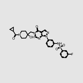 O=C(C1CC1)N1CCC(O)(Cn2cnc3c(cnn3-c3cccc(NS(=O)(=O)c4cccc(F)c4)c3)c2=O)CC1